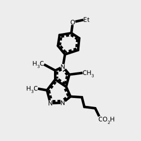 CCOc1ccc(-n2c(C)c3c(C)nnc(CCCC(=O)O)c3c2C)cc1